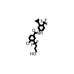 O=C(Nc1ccc(C(F)(F)F)c(C2CC2)c1)c1ccc(Cl)c(C(F)(F)CCCO)c1